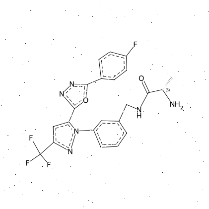 C[C@H](N)C(=O)NCc1cccc(-n2nc(C(F)(F)F)cc2-c2nnc(-c3ccc(F)cc3)o2)c1